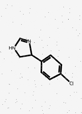 Clc1ccc(C2CNC=N2)cc1